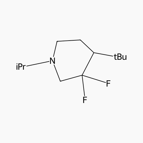 CC(C)N1CCC(C(C)(C)C)C(F)(F)C1